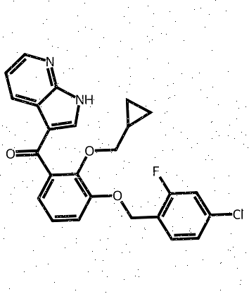 O=C(c1cccc(OCc2ccc(Cl)cc2F)c1OCC1CC1)c1c[nH]c2ncccc12